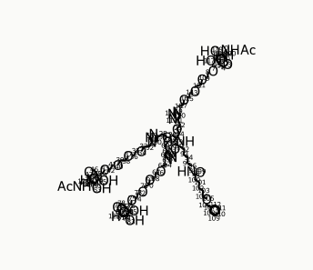 CC(=O)N[C@H]1[C@H]2OC[C@](COCCOCCOCCOCCn3cc(COCC(COCc4cn(CCOCCOCCOCCOC[C@@]56CO[C@@H](O5)[C@H](NC(C)=O)[C@@H](O)[C@H]6O)nn4)(COCc4cn(CCOCCOCCOCCOC[C@]56CO[C@H](C[C@@H](O)[C@H]5O)O6)nn4)NC(=O)CCCCCNC(=O)CCCCCOCc4ccccc4)nn3)(O2)[C@H](O)[C@@H]1O